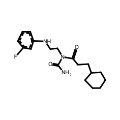 NC(=O)N(CCNc1cccc(F)c1)C(=O)[CH]CC1CCCCC1